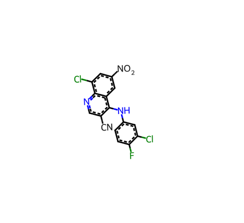 N#Cc1cnc2c(Cl)cc([N+](=O)[O-])cc2c1Nc1ccc(F)c(Cl)c1